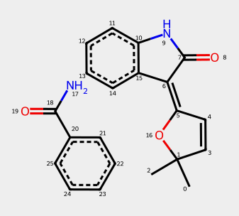 CC1(C)C=C/C(=C2\C(=O)Nc3ccccc32)O1.NC(=O)c1ccccc1